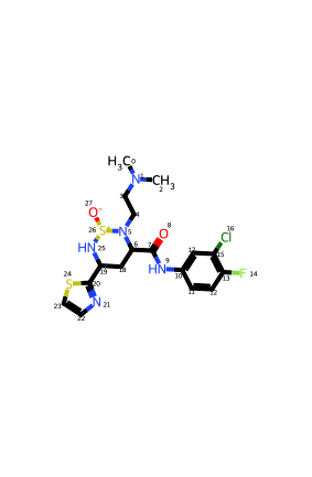 CN(C)CCN1C(C(=O)Nc2ccc(F)c(Cl)c2)CC(c2nccs2)N[S+]1[O-]